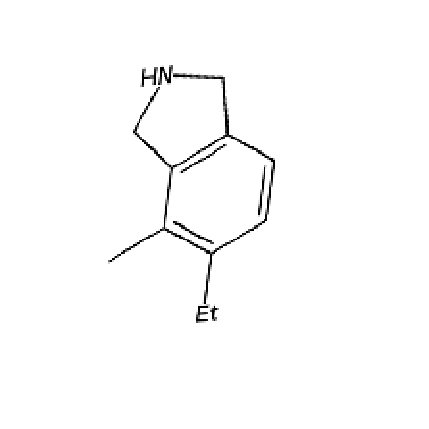 CCc1ccc2c(c1C)CNC2